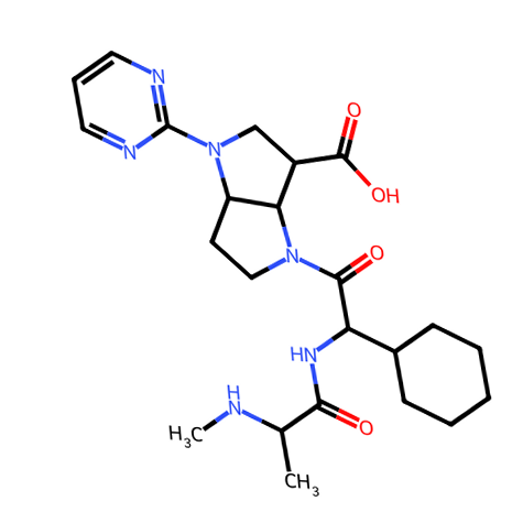 CNC(C)C(=O)NC(C(=O)N1CCC2C1C(C(=O)O)CN2c1ncccn1)C1CCCCC1